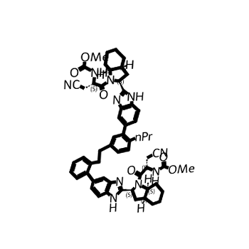 CCCc1ccc(CCc2ccccc2-c2ccc3[nH]c([C@@H]4C[C@@H]5CCCC[C@@H]5N4C(=O)[C@H](CC#N)NC(=O)OC)nc3c2)cc1-c1ccc2[nH]c([C@@H]3C[C@@H]4CCCC[C@@H]4N3C(=O)[C@H](CC#N)NC(=O)OC)nc2c1